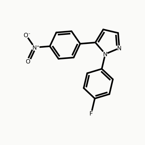 O=[N+]([O-])c1ccc(-c2ccnn2-c2ccc(F)cc2)cc1